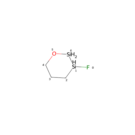 F[SiH]1CCCO[SiH2]1